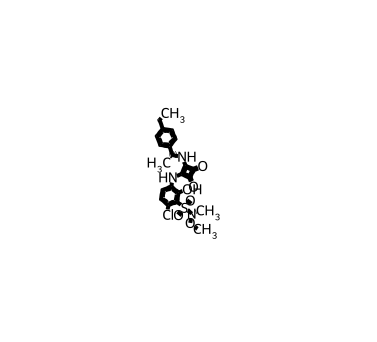 CCc1ccc([C@@H](C)Nc2c(Nc3ccc(Cl)c(S(=O)(=O)N(C)OC)c3O)c(=O)c2=O)cc1